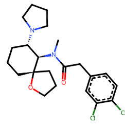 CN(C(=O)Cc1ccc(Cl)c(Cl)c1)[C@@H]1[C@@H](N2CCCC2)CCC[C@]12CCCO2